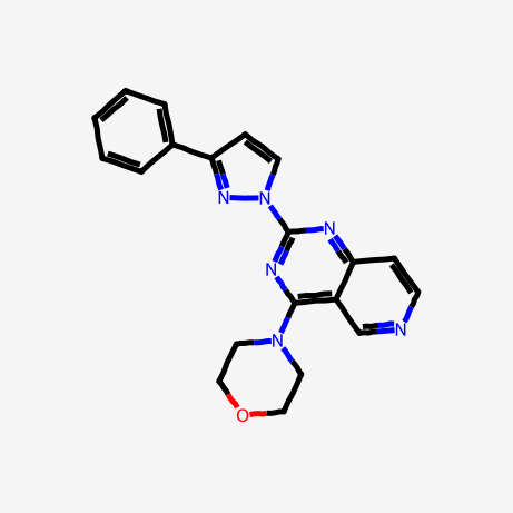 c1ccc(-c2ccn(-c3nc(N4CCOCC4)c4cnccc4n3)n2)cc1